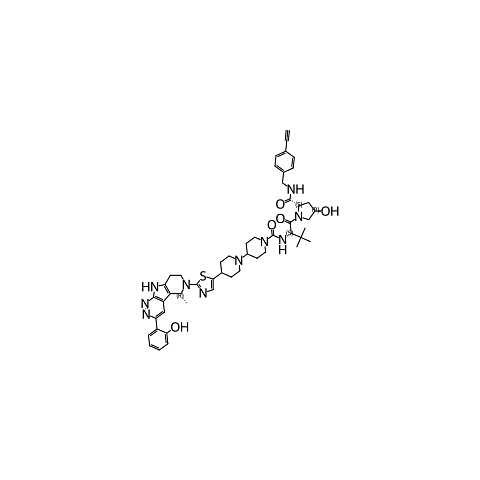 C#Cc1ccc(CNC(=O)[C@@H]2C[C@@H](O)CN2C(=O)[C@@H](NC(=O)N2CCC(N3CCC(c4cnc(N5CCc6[nH]c7nnc(-c8ccccc8O)cc7c6[C@H]5C)s4)CC3)CC2)C(C)(C)C)cc1